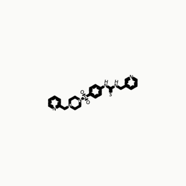 O=S(=O)(c1ccc(NC(=S)NCc2cccnc2)cc1)N1CCN(Cc2ccccn2)CC1